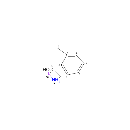 CC(=O)O.Cc1ccccc1.NI